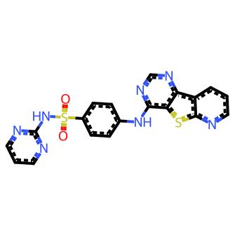 O=S(=O)(Nc1ncccn1)c1ccc(Nc2ncnc3c2sc2ncccc23)cc1